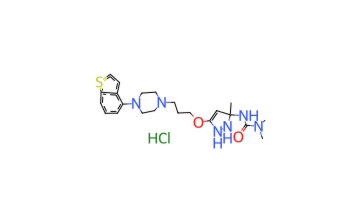 CN(C)C(=O)NC1(C)C=C(OCCCN2CCN(c3cccc4sccc34)CC2)NN1.Cl